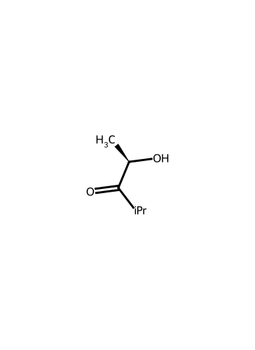 CC(C)C(=O)[C@@H](C)O